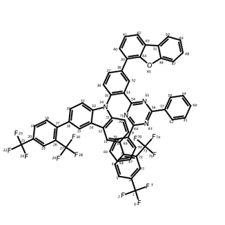 FC(F)(F)c1ccc(-c2ccc3c(c2)c2cc(-c4ccc(C(F)(F)F)cc4C(F)(F)F)ccc2n3-c2ccc(-c3cccc4c3oc3ccccc34)cc2-c2nc(-c3ccccc3)nc(-c3ccccc3)n2)c(C(F)(F)F)c1